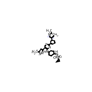 C/C=C(\C=N/CC)c1cccc(-c2ncc(C3=NN=C(C)C3)c(NC3CCC(NS(=O)(=O)C4CC4)CC3)n2)c1